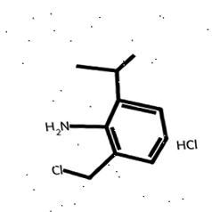 CC(C)c1cccc(CCl)c1N.Cl